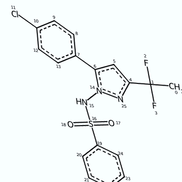 CC(F)(F)c1cc(-c2ccc(Cl)cc2)n(NS(=O)(=O)c2ccccc2)n1